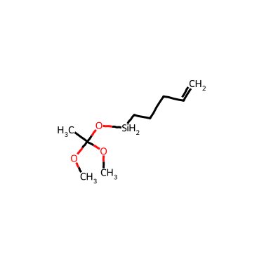 C=CCCC[SiH2]OC(C)(OC)OC